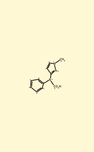 Cn1ccc(N(C(=O)O)c2ccccc2)n1